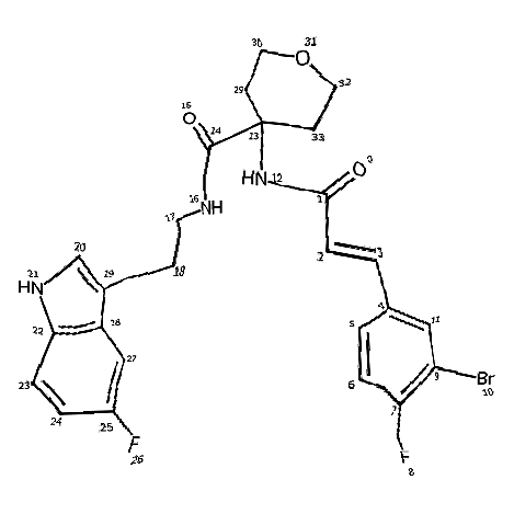 O=C(/C=C/c1ccc(F)c(Br)c1)NC1(C(=O)NCCc2c[nH]c3ccc(F)cc23)CCOCC1